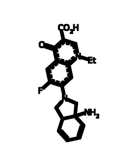 CCn1cc(C(=O)O)c(=O)c2cc(F)c(N3CC4C=CC=CC4(N)C3)cc21